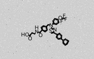 O=C(O)CCNC(=O)c1ccc(CN(c2ccc(OC(F)(F)F)cc2)c2nc(-c3ccc(-c4ccccc4)cc3)cs2)cc1